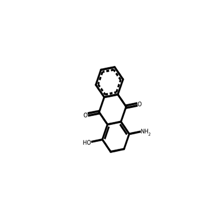 NC1=C2C(=O)c3ccccc3C(=O)C2=C(O)CC1